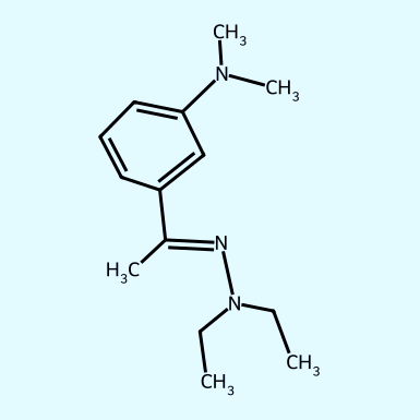 CCN(CC)N=C(C)c1cccc(N(C)C)c1